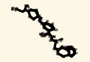 CCN(C)C1CCC(/C=N/c2cc(C(O)NC[C@H](O)CN3CCc4ccccc4C3)ncn2)CC1